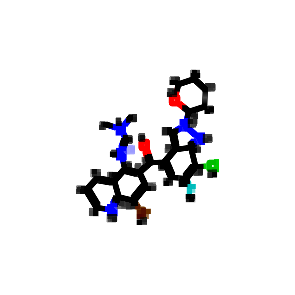 CN(C)/C=N/c1c(C(=O)c2cc(F)c(Cl)c3nn(C4CCCCO4)cc23)cc(Br)c2ncccc12